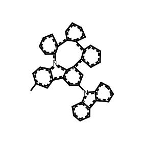 Cc1ccc2c(c1)c1cc(-n3c4ccccc4c4ccccc43)cc3c4ccccc4c4ccccc4c4ccccc4n2c31